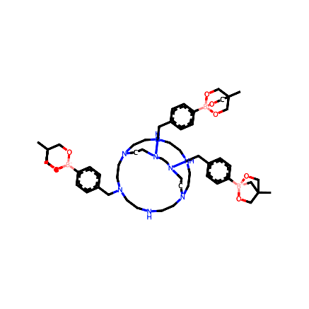 CC12CO[B-](c3ccc(CN4CCNCCN5CCNCCNCCN(CC4)CCN(Cc4ccc([B-]67OCC(C)(CO6)CO7)cc4)CCN(Cc4ccc([B-]67CC(C)(CO6)CO7)cc4)CC5)cc3)(OC1)OC2